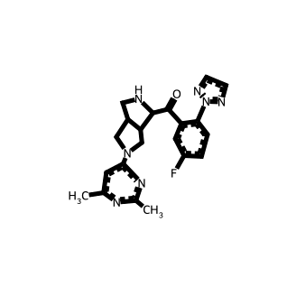 Cc1cc(N2CC3CNC(C(=O)c4cc(F)ccc4-n4nccn4)C3C2)nc(C)n1